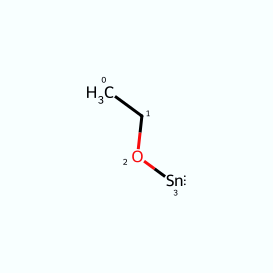 CC[O][Sn]